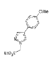 CCOC(=O)Cn1cc(-c2ccc(OC)cc2)cn1